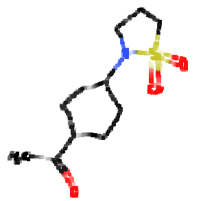 CC(=O)C1CCC(N2CCCS2(=O)=O)CC1